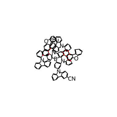 CC(C)(C)c1ccc(N2c3cc(-c4c(-c5ccc6c(c5)oc5ccccc56)cccc4-n4c5ccccc5c5ccccc54)ccc3B3c4ccc(-n5c6ccccc6c6cc(C#N)ccc65)cc4N(c4ccccc4-c4ccccc4)c4cc(-c5c(-c6cccc7oc8ccccc8c67)cccc5-n5c6ccccc6c6ccccc65)cc2c43)c(-c2ccccc2)c1